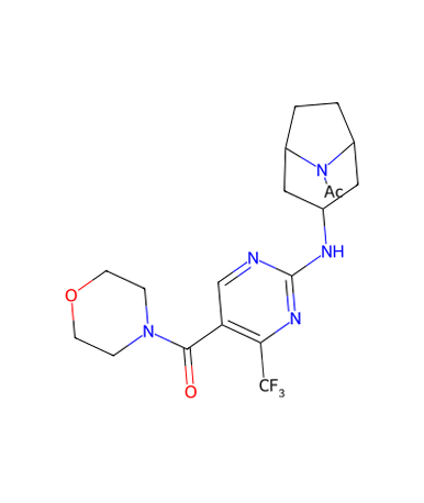 CC(=O)N1C2CCC1CC(Nc1ncc(C(=O)N3CCOCC3)c(C(F)(F)F)n1)C2